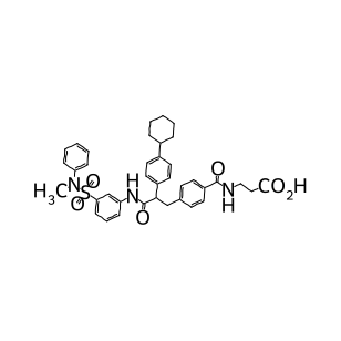 CN(c1ccccc1)S(=O)(=O)c1cccc(NC(=O)C(Cc2ccc(C(=O)NCCC(=O)O)cc2)c2ccc(C3CCCCC3)cc2)c1